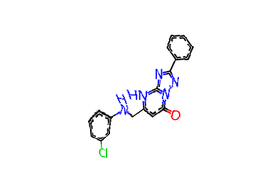 O=c1cc(CNc2cccc(Cl)c2)[nH]c2nc(-c3ccccc3)nn12